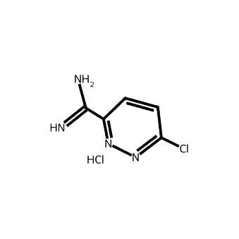 Cl.N=C(N)c1ccc(Cl)nn1